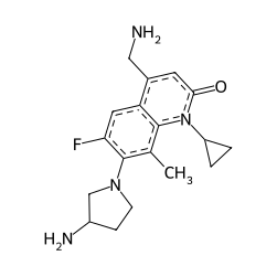 Cc1c(N2CCC(N)C2)c(F)cc2c(CN)cc(=O)n(C3CC3)c12